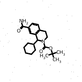 CC(C)(C)OC(=O)N1CCc2ccc(C(N)=O)cc2C1C1CCCCC1